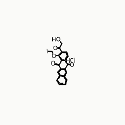 Cl.O=C(CO)c1ccc2c(c1OCI)C(=O)c1cc3ccccc3cc1C2=O